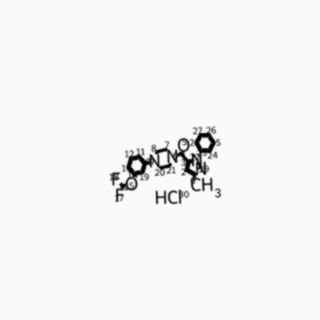 Cc1cc(C(=O)N2CCN(c3cccc(OC(F)F)c3)CC2)n(-c2ccccc2)n1.Cl